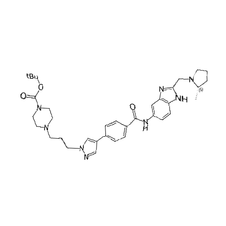 C[C@H]1CCCN1Cc1nc2cc(NC(=O)c3ccc(-c4cnn(CCCN5CCN(C(=O)OC(C)(C)C)CC5)c4)cc3)ccc2[nH]1